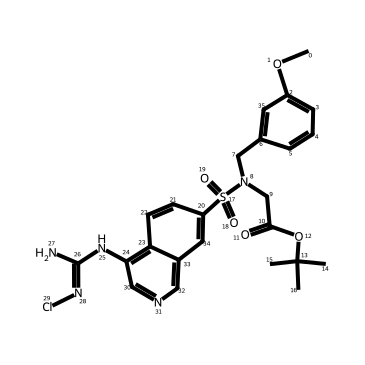 COc1cccc(CN(CC(=O)OC(C)(C)C)S(=O)(=O)c2ccc3c(NC(N)=NCl)cncc3c2)c1